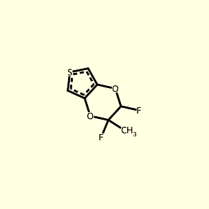 CC1(F)Oc2cscc2OC1F